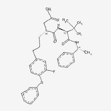 C[C@@H](NC(=O)[C@@H](NC(=O)[C@H](CCCc1ccc(Oc2ccccc2)c(F)c1)CC(=O)O)C(C)(C)C)c1ccccc1